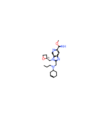 CCCN(Cc1nc2cc(C(=N)OC)ncc2n1C[C@@H]1CCO1)C1CC=CCC1